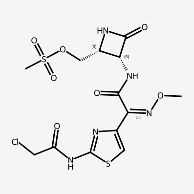 CO/N=C(\C(=O)N[C@H]1C(=O)N[C@H]1COS(C)(=O)=O)c1csc(NC(=O)CCl)n1